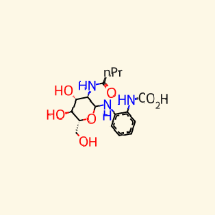 CCCC(=O)N[C@H]1C(Nc2ccccc2NC(=O)O)O[C@H](CO)[C@@H](O)[C@@H]1O